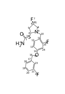 NC(=O)SC1C[C@@H](F)CN1Cc1ccc(OCc2cccc(F)c2)cc1F